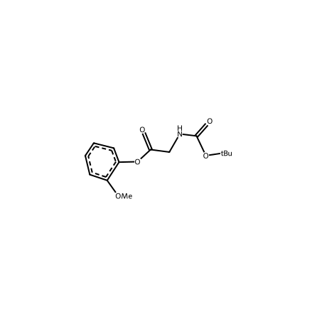 COc1ccccc1OC(=O)CNC(=O)OC(C)(C)C